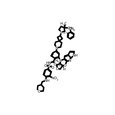 Cc1ccccc1[C@@H]1N(C2CC3(CCN(c4ccc(C(=O)NS(=O)(=O)c5ccc(NCC6CCOCC6)c([N+](=O)[O-])c5)c(N5c6cc7cc[nH]c7nc6O[C@@H]6COC[C@H]65)c4)CC3)C2)CCC1(C)C